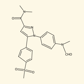 CN(C)C(=O)c1cc(-c2ccc(S(C)(=O)=O)cc2)n(-c2ccc(N(C)C=O)cc2)n1